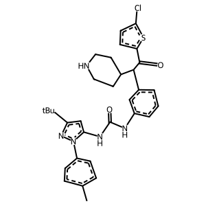 Cc1ccc(-n2nc(C(C)(C)C)cc2NC(=O)Nc2cccc(C(C(=O)c3ccc(Cl)s3)C3CCNCC3)c2)cc1